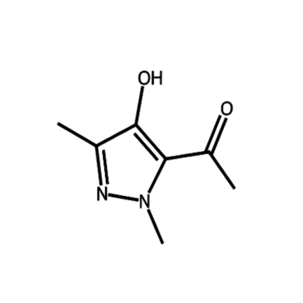 CC(=O)c1c(O)c(C)nn1C